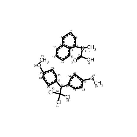 CN(C(=O)O)c1cccc2ccccc12.COc1ccc(C(c2ccc(OC)cc2)C(Cl)(Cl)Cl)cc1